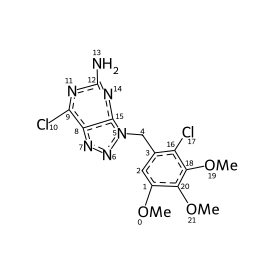 COc1cc(Cn2nnc3c(Cl)nc(N)nc32)c(Cl)c(OC)c1OC